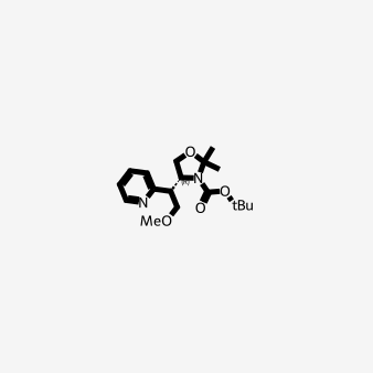 COCC(c1ccccn1)[C@@H]1COC(C)(C)N1C(=O)OC(C)(C)C